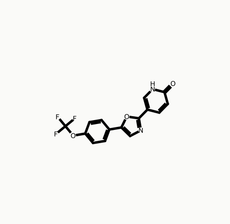 O=c1ccc(-c2ncc(-c3ccc(OC(F)(F)F)cc3)o2)c[nH]1